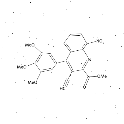 C#Cc1c(C(=O)OC)nc2c([N+](=O)[O-])cccc2c1-c1cc(OC)c(OC)c(OC)c1